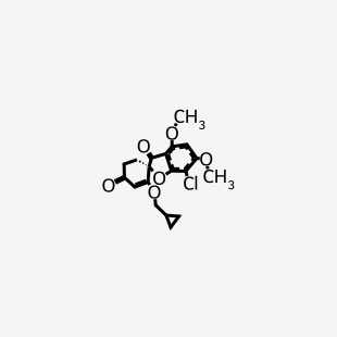 COc1cc(OC)c2c(c1Cl)O[C@]1(CCC(=O)C=C1OCC1CC1)C2=O